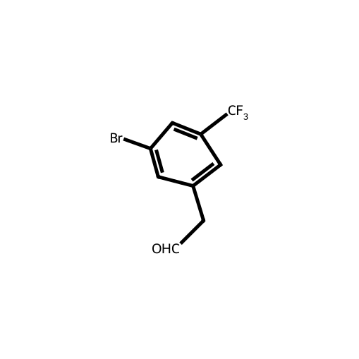 O=CCc1cc(Br)cc(C(F)(F)F)c1